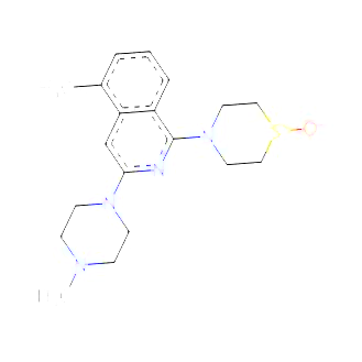 Cc1cccc2c(N3CC[S+]([O-])CC3)nc(N3CCN(C)CC3)cc12